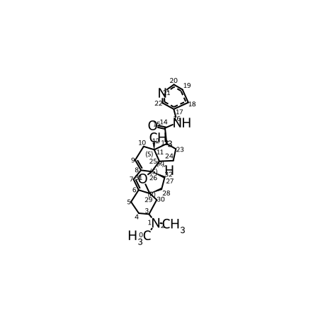 CN(C)C1CCC2=CC3=CC[C@]4(C)C(C(=O)Nc5cccnc5)CC[C@H]4[C@@]34CC[C@]2(C1)O4